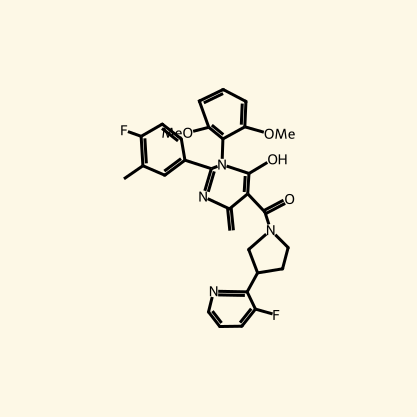 C=C1N=C(c2ccc(F)c(C)c2)N(c2c(OC)cccc2OC)C(O)=C1C(=O)N1CCC(c2ncccc2F)C1